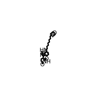 Cn1nc(C2CCC(=O)NC2=O)c2cccc(NCCCCCCCCN3CCOCC3)c21